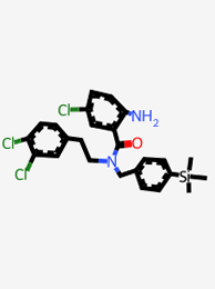 C[Si](C)(C)c1ccc(CN(CCc2ccc(Cl)c(Cl)c2)C(=O)c2cc(Cl)ccc2N)cc1